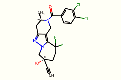 C#C[C@]1(O)CCC(F)(F)c2c3c(nn2C1)C[C@@H](C)N(C(=O)c1ccc(Cl)c(Cl)c1)C3